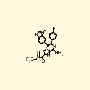 Cn1cnc2ccc(-c3c(-c4ccc(F)cc4)nc(N)c4nc(C(=O)NCC(F)(F)F)cn34)cc21